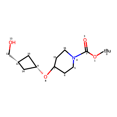 CC(C)(C)OC(=O)N1CCC(O[C@H]2C[C@@H](CO)C2)CC1